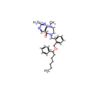 CCCCCCC(OCc1ccccc1CN1CCN(C)c2nc(C)ncc2C1=O)c1ccccc1